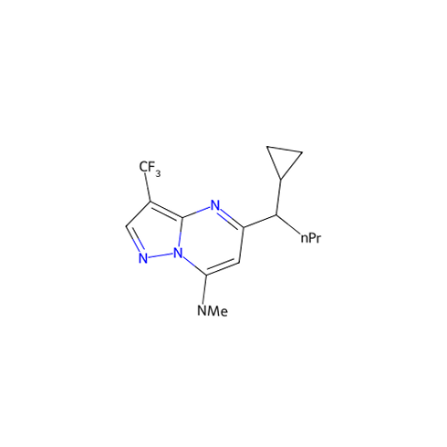 CCCC(c1cc(NC)n2ncc(C(F)(F)F)c2n1)C1CC1